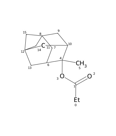 CCC(=O)OC1(C)C2CC34CC1CC(C2)(C3)C4